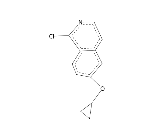 Clc1nccc2cc(OC3CC3)ccc12